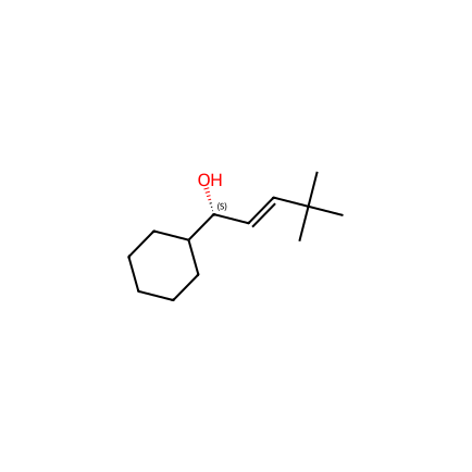 CC(C)(C)C=C[C@@H](O)C1CCCCC1